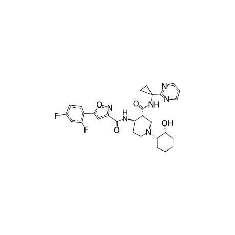 O=C(N[C@@H]1CCN([C@H]2CCCC[C@H]2O)C[C@H]1C(=O)NC1(c2ncccn2)CC1)c1cc(-c2ccc(F)cc2F)on1